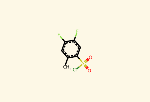 Cc1cc(F)c(F)cc1S(=O)(=O)Cl